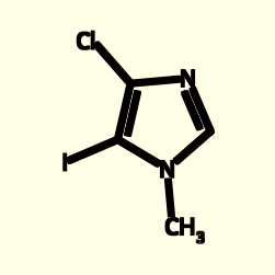 Cn1cnc(Cl)c1I